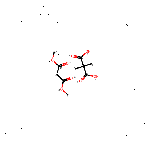 CC(C)(C(=O)O)C(=O)O.COC(=O)CC(=O)OC